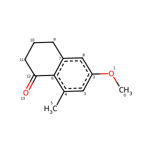 COc1cc(C)c2c(c1)CCCC2=O